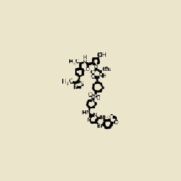 Cc1ncsc1-c1ccc([C@H](C)NC(=O)C2C[C@@H](O)CN2C(=O)[C@@H](NC(=O)C2CCCC(S(=O)(=O)N3CCC(Nc4ncc(Br)c(Nc5cccc6c5OCO6)n4)CC3)CC2)C(C)(C)C)cc1